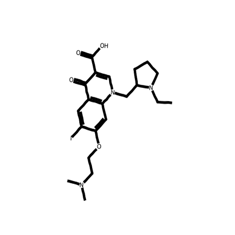 CCN1CCCC1Cn1cc(C(=O)O)c(=O)c2cc(I)c(OCCN(C)C)cc21